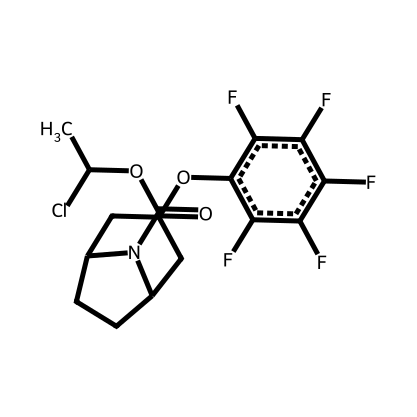 CC(Cl)OC(=O)N1C2CCC1CC(Oc1c(F)c(F)c(F)c(F)c1F)C2